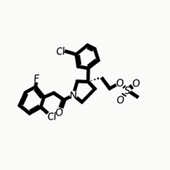 CS(=O)(=O)OCC[C@]1(c2cccc(Cl)c2)CCN(C(=O)Cc2c(F)cccc2Cl)C1